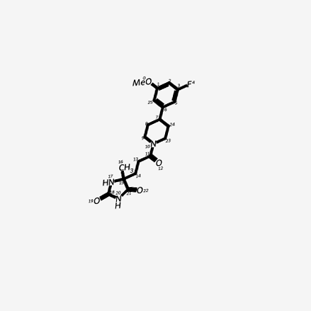 COc1cc(F)cc(C2CCN(C(=O)CCC3(C)NC(=O)NC3=O)CC2)c1